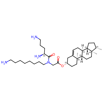 C[C@H]1CC[C@H]2[C@@H]3CC=C4C[C@@H](OC(=O)CN(CCCCCCCCN)C(=O)[C@@H](N)CCCN)CC[C@]4(C)[C@H]3CC[C@]12C